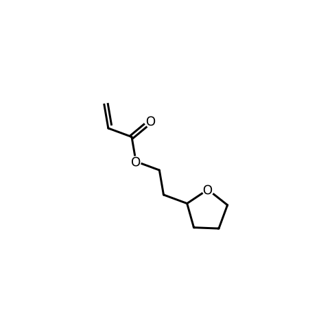 C=CC(=O)OCCC1CCCO1